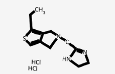 CCc1scc2c1CN(CC1=NCCN1)C2.Cl.Cl